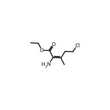 CCOC(=O)C(N)=C(C)CCCl